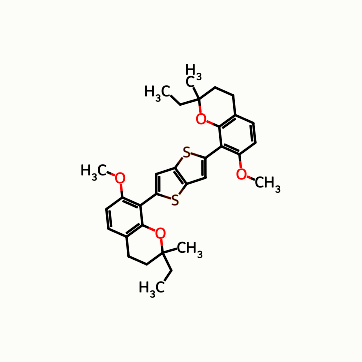 CCC1(C)CCc2ccc(OC)c(-c3cc4sc(-c5c(OC)ccc6c5OC(C)(CC)CC6)cc4s3)c2O1